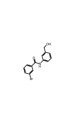 O=C(Nc1cccc(CO)c1)c1cccc(Br)c1